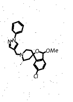 COC1OC2(CCN(Cc3cnn(-c4ccccc4)c3)[C@@H](C)C2)c2cc(Cl)ccc21